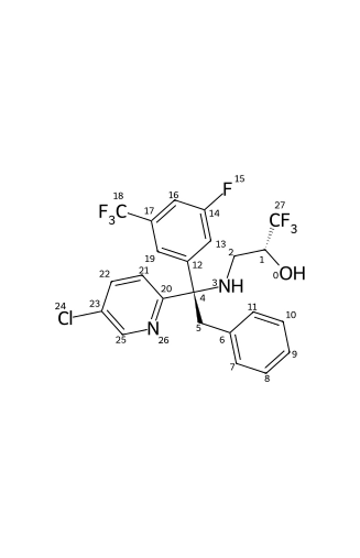 O[C@H](CN[C@@](Cc1ccccc1)(c1cc(F)cc(C(F)(F)F)c1)c1ccc(Cl)cn1)C(F)(F)F